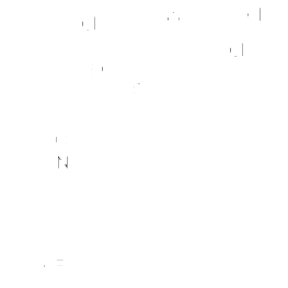 FC(F)(F)c1ccc(/C=N/OCCCOc2c(Cl)cc(OCC=C(Cl)Cl)cc2Cl)cc1